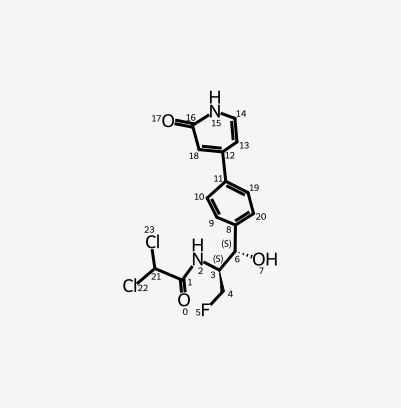 O=C(N[C@H](CF)[C@@H](O)c1ccc(-c2cc[nH]c(=O)c2)cc1)C(Cl)Cl